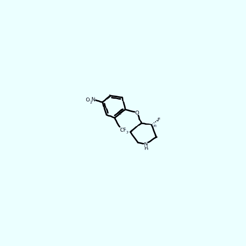 O=[N+]([O-])c1ccc(OC2CCNC[C@H]2F)c(C(F)(F)F)c1